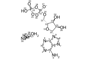 Nc1ncnc2c1ncn2[C@@H]1O[C@H](COP(=O)([O-])OP(=O)([O-])O)[C@@H](O)[C@H]1O.O.O.[Na+].[Na+]